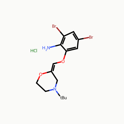 CC(C)(C)N1CCOC(=COc2cc(Br)cc(Br)c2N)C1.Cl